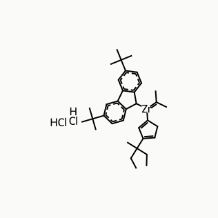 CCC(C)(CC)C1=CC[C]([Zr](=[C](C)C)[CH]2c3ccc(C(C)(C)C)cc3-c3cc(C(C)(C)C)ccc32)=C1.Cl.Cl